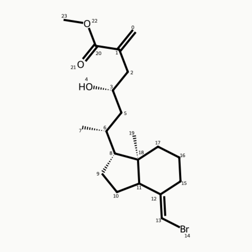 C=C(C[C@@H](O)C[C@@H](C)[C@H]1CCC2C(=CBr)CCC[C@@]21C)C(=O)OC